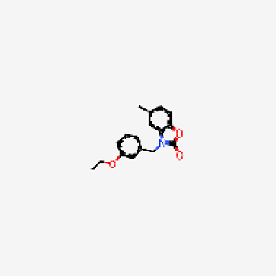 CCOc1cccc(Cn2c(=O)oc3ccc(C)cc32)c1